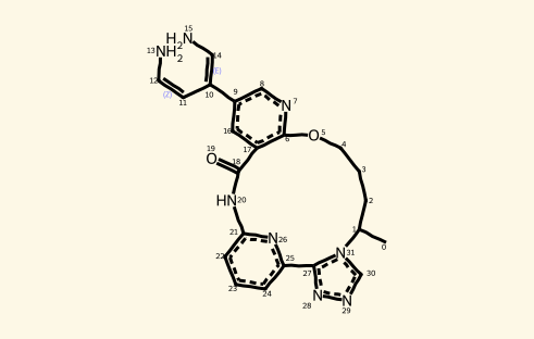 CC1CCCOc2ncc(C(/C=C\N)=C/N)cc2C(=O)Nc2cccc(n2)-c2nncn21